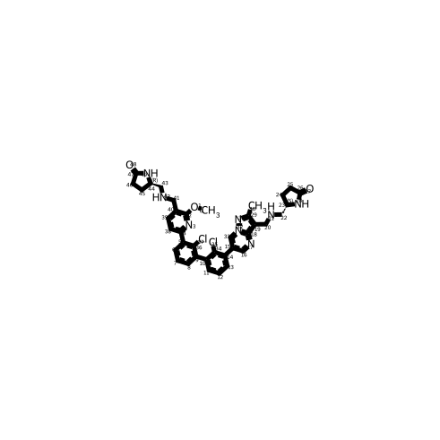 COc1nc(-c2cccc(-c3cccc(-c4cnc5c(CNC[C@@H]6CCC(=O)N6)c(C)nn5c4)c3Cl)c2Cl)ccc1CNC[C@H]1CCC(=O)N1